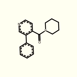 O=C(c1ccn[c]c1-c1ccccc1)N1CCCCC1